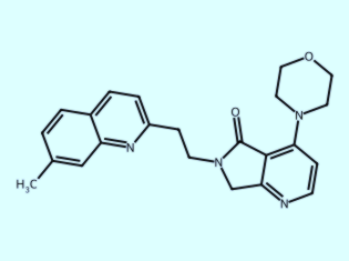 Cc1ccc2ccc(CCN3Cc4nccc(N5CCOCC5)c4C3=O)nc2c1